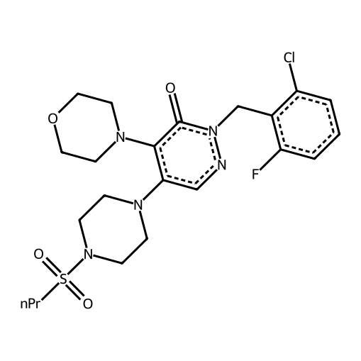 CCCS(=O)(=O)N1CCN(c2cnn(Cc3c(F)cccc3Cl)c(=O)c2N2CCOCC2)CC1